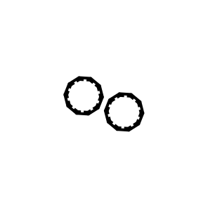 c1ccccccccc1.c1ccccccccc1